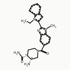 CCn1c(-c2nc3cc(C(=O)N4CC[C@@H](C(N)=O)[C@@H](N)C4)ccc3n2C)cc2ccccc21